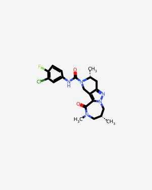 C[C@@H]1CN(C)C(=O)c2c3c(nn2C1)C[C@@H](C)N(C(=O)Nc1ccc(F)c(Cl)c1)C3